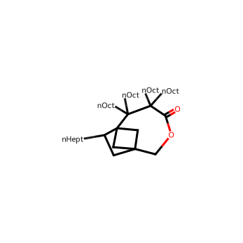 CCCCCCCCC1(CCCCCCCC)C(=O)OCC23CC(CCCCCCC)C(C2)(C3)C1(CCCCCCCC)CCCCCCCC